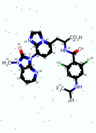 CCC(Nc1cc(F)c(C(=O)NC(Cc2ccc(-n3c(=O)n(C)c4cccnc43)c3nccn23)C(=O)O)c(F)c1)C(F)(F)F